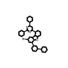 Brc1cc(-c2cccc(-c3ccccc3)c2)c2oc3cccc(-c4cc(-c5ccccc5)nc(-c5ccccc5)n4)c3c2c1